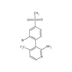 CS(=O)(=O)c1ccc(-c2c(C(F)(F)F)ccnc2N)c(Br)c1